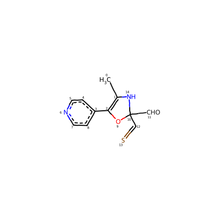 CC1=C(c2ccncc2)OC(C=O)(C=S)N1